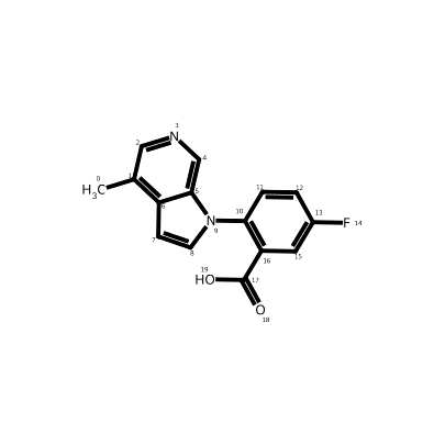 Cc1cncc2c1ccn2-c1ccc(F)cc1C(=O)O